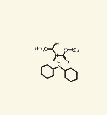 C1CCC(NC2CCCCC2)CC1.CC(C)C(C(=O)O)N(C)C(=O)OC(C)(C)C